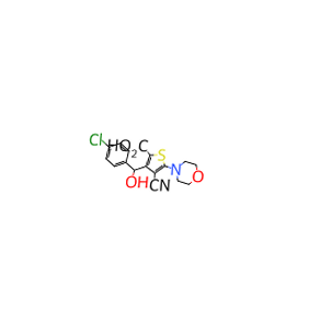 N#Cc1c(N2CCOCC2)sc(C(=O)O)c1C(O)c1ccc(Cl)cc1